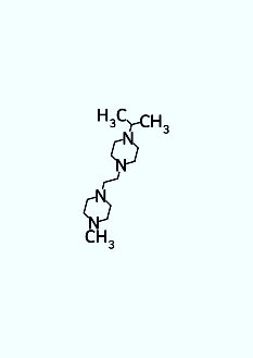 CC(C)N1CCN(CCN2CCN(C)CC2)CC1